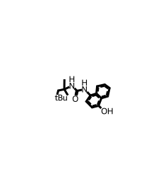 CC(C)(C)CC(C)(C)NC(=O)Nc1ccc(O)c2ccccc12